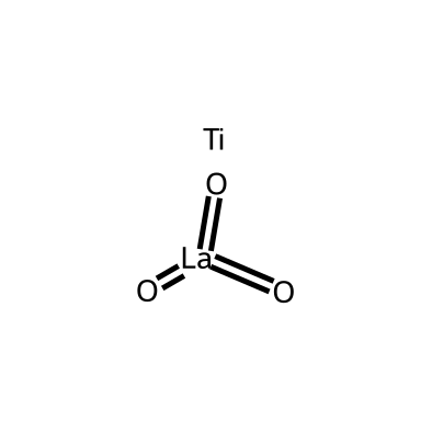 [O]=[La](=[O])=[O].[Ti]